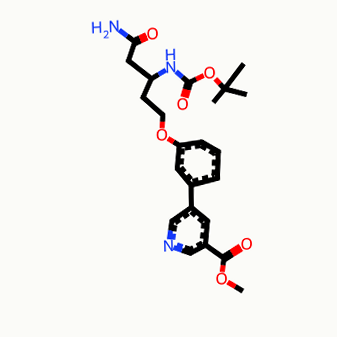 COC(=O)c1cncc(-c2cccc(OCCC(CC(N)=O)NC(=O)OC(C)(C)C)c2)c1